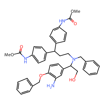 COC(=O)Nc1ccc(C(CCN(Cc2ccccc2)C(CO)c2ccc(OCc3ccccc3)c(N)c2)c2ccc(NC(=O)OC)cc2)cc1